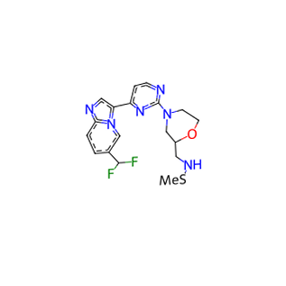 CSNCC1CN(c2nccc(-c3cnc4ccc(C(F)F)cn34)n2)CCO1